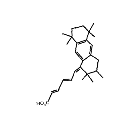 CC1Cc2cc3c(cc2C(=CC=CC=CC(=O)O)C1(C)C)C(C)(C)CCC3(C)C